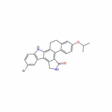 CC(C)Oc1ccc2c(c1)CCc1c-2c2c(c3c1[nH]c1ccc(Br)cc13)CNC2=O